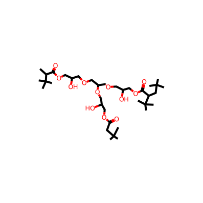 CC(C(=O)OCC(O)COCC(COCC(O)COC(=O)C(CC(C)(C)C)C(C)(C)C)OCC(O)COC(=O)CC(C)(C)C)C(C)(C)C